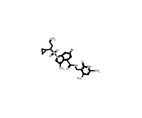 C=CCC(C1CC1)S(=O)(=O)n1cc(C)c2c(C(=O)NCc3c(C)cc(C)[nH]c3=O)cc(Br)cc21